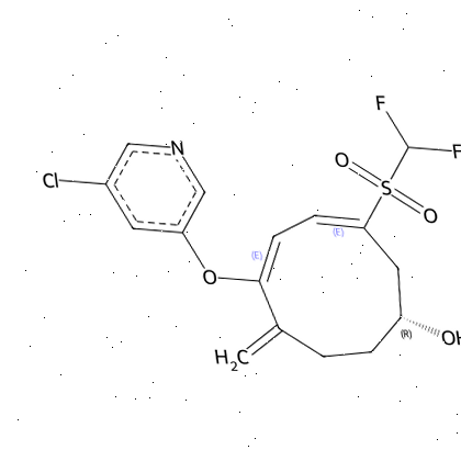 C=C1CC[C@@H](O)C/C(S(=O)(=O)C(F)F)=C\C=C/1Oc1cncc(Cl)c1